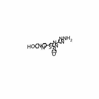 Nc1ncc(-c2nc(N3CCOCC3)c3sc(-c4ccc(N5CCC(O)CC5)nc4)cc3n2)cn1